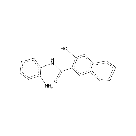 Nc1ccccc1NC(=O)c1cc2ccccc2cc1O